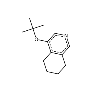 CC(C)(C)Oc1cncc2c1CCCC2